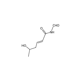 CC(O)CC=CC(=O)NC=O